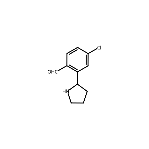 O=Cc1ccc(Cl)cc1C1CCCN1